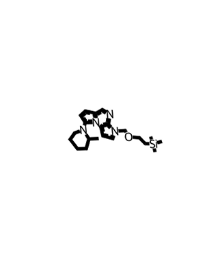 CC1CCCCN1c1ccc2cnc3c(ccn3COCC[Si](C)(C)C)n12